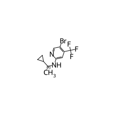 C[C@@H](Nc1cc(C(F)(F)F)c(Br)cn1)C1CC1